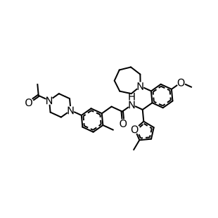 COc1ccc(C(NC(=O)Cc2cc(N3CCN(C(C)=O)CC3)ccc2C)c2ccc(C)o2)c(N2CCCCCC2)c1